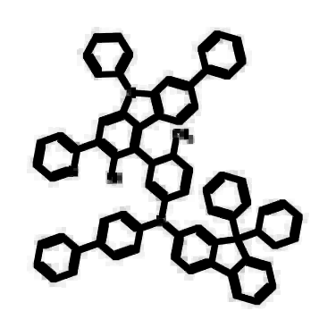 CC1C=CC(N(c2ccc(-c3ccccc3)cc2)c2ccc3c(c2)C(c2ccccc2)(C2C=CC=CC2)c2ccccc2-3)=CC1c1c(S)c(-c2ccccn2)cc2c1c1ccc(-c3ccccc3)cc1n2-c1ccccc1